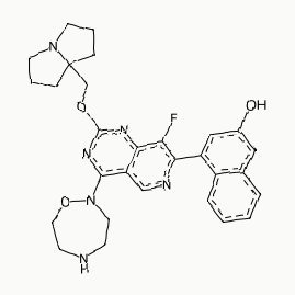 Oc1cc(-c2ncc3c(N4CCNCCO4)nc(OCC45CCCN4CCC5)nc3c2F)c2ccccc2c1